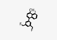 Cc1ccc(-c2cc(CF)cc(CF)c2)c2ccccc12